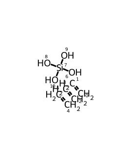 C=C.C=C.C=C.O[Si](O)(O)O